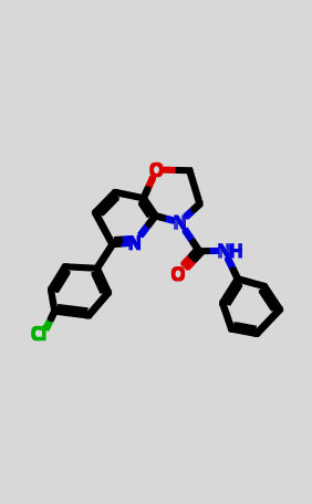 O=C(Nc1ccccc1)N1CCOc2ccc(-c3ccc(Cl)cc3)nc21